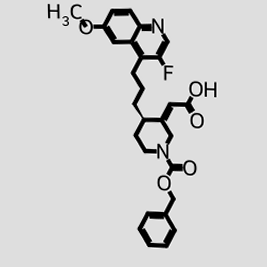 COc1ccc2ncc(F)c(CCC[C@@H]3CCN(C(=O)OCc4ccccc4)CC3=CC(=O)O)c2c1